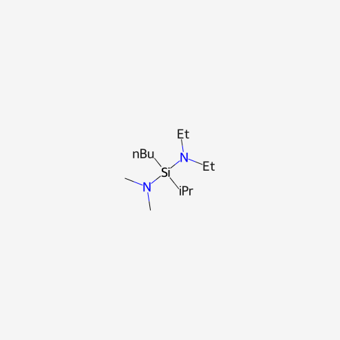 CCCC[Si](C(C)C)(N(C)C)N(CC)CC